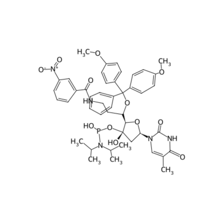 COc1ccc(C(OC(CCNC(=O)c2cccc([N+](=O)[O-])c2)[C@H]2O[C@@H](n3cc(C)c(=O)[nH]c3=O)C[C@]2(O)OP(O)N(C(C)C)C(C)C)(c2ccccc2)c2ccc(OC)cc2)cc1